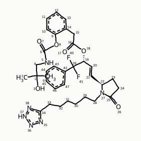 CC(C)(O)CNC(=O)Oc1ccccc1CC(=O)O[C@H](/C=C/[C@H]1CCC(=O)N1CCCCCCc1nn[nH]n1)C(F)(F)c1ccccc1